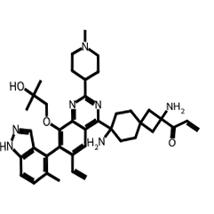 C=CC(=O)C1(N)CC2(CCC(N)(c3nc(C4CCN(C)CC4)nc4c(OCC(C)(C)O)c(-c5c(C)ccc6[nH]ncc56)c(C=C)cc34)CC2)C1